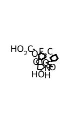 O=C(O)COc1cccc2c1OC1CC(O)C(NS(=O)(=O)c3cccc(C(F)(F)F)c3)C21